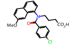 COc1ccc2cccc(N(CCCC(=O)O)C(=O)c3ccc(Cl)cc3)c2c1